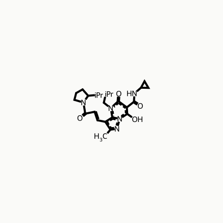 Cc1nn2c(O)c(C(=O)NC3CC3)c(=O)n(CC(C)C)c2c1C=CC(=O)N1CCCC1C(C)C